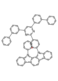 c1ccc(-c2cccc(-c3cc(-c4cccc(-c5ccccc5)c4)nc(-c4ccc(-n5c6ccccc6c6ccc7c8ccccc8n(-c8ccccc8)c7c65)cc4)n3)c2)cc1